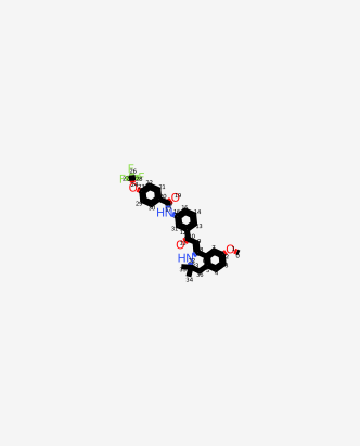 COc1ccc2c(c1)C(=CC(=O)c1cccc(NC(=O)c3ccc(OC(F)(F)F)cc3)c1)NC(C)(C)C2